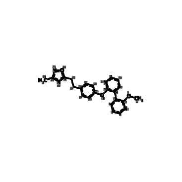 COc1ncccc1-c1cccnc1Oc1ccc(CCc2nc(C)no2)cc1